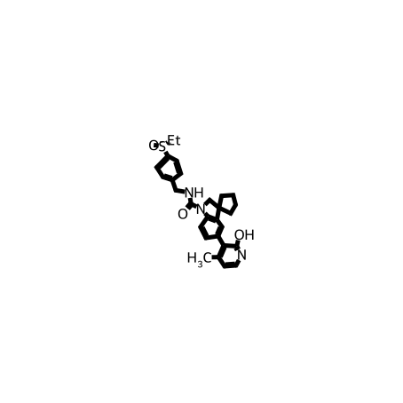 CC[S+]([O-])c1ccc(CNC(=O)N2CC3(CCCC3)c3cc(-c4c(C)ccnc4O)ccc32)cc1